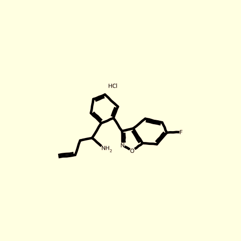 C=CCC(N)c1ccccc1-c1noc2cc(F)ccc12.Cl